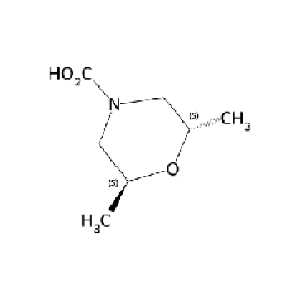 C[C@H]1CN(C(=O)O)C[C@H](C)O1